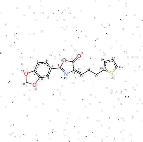 O=C1OC(c2ccc3c(c2)OCO3)=N/C1=C/CCc1cccs1